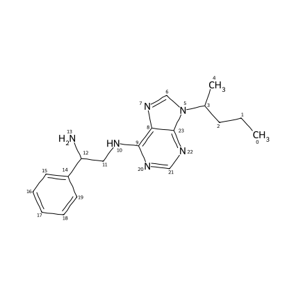 CCCC(C)n1cnc2c(NCC(N)c3ccccc3)ncnc21